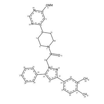 COc1cc(C2CCN(C(=O)Cn3nc(-c4ccc(C)c(C)c4)cc3-c3ccccc3)CC2)ncn1